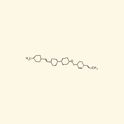 CCCC1C=CC(COC2CCC(C3CCC(/C=C/C4CCC(C)CC4)CC3)CC2)CC1